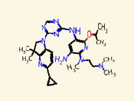 CC(C)Oc1nc(N(C)CCN(C)C)c(N)cc1Nc1ncnc(N2CC(C)(C)c3nc(C4CC4)ccc32)n1